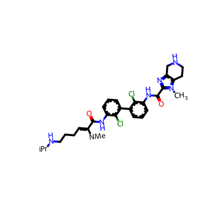 CN/C(=C\CCCNC(C)C)C(=O)Nc1cccc(-c2cccc(NC(=O)c3nc4c(n3C)CCNC4)c2Cl)c1Cl